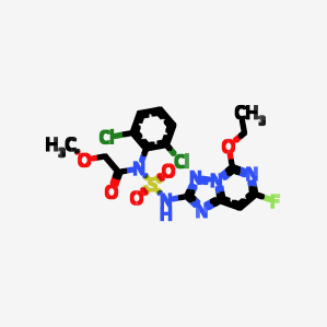 CCOc1nc(F)cc2nc(NS(=O)(=O)N(C(=O)COC)c3c(Cl)cccc3Cl)nn12